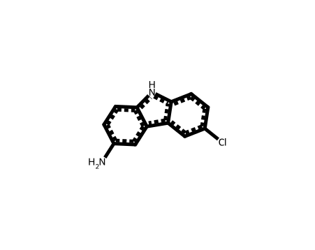 Nc1ccc2[nH]c3ccc(Cl)cc3c2c1